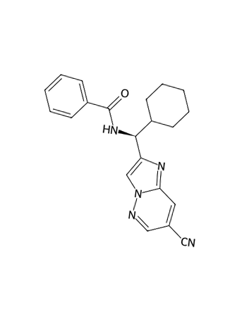 N#Cc1cnn2cc([C@@H](NC(=O)c3ccccc3)C3CCCCC3)nc2c1